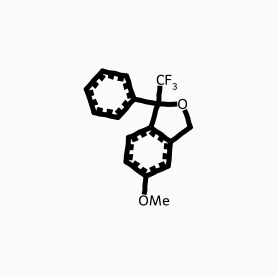 COc1ccc2c(c1)COC2(c1ccccc1)C(F)(F)F